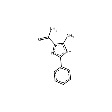 NC(=O)c1nc(-c2ccccc2)[nH]c1N